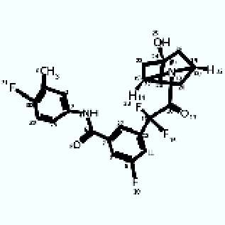 Cc1cc(NC(=O)c2cc(F)cc(C(F)(F)C(=O)N3[C@H]4CC5[C@@H]3C[C@]5(O)C4)c2)ccc1F